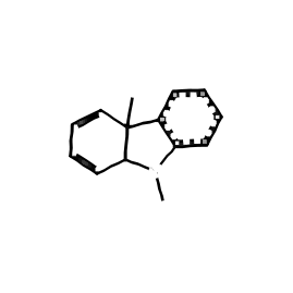 CN1c2ccccc2C2(C)C=CC=CC12